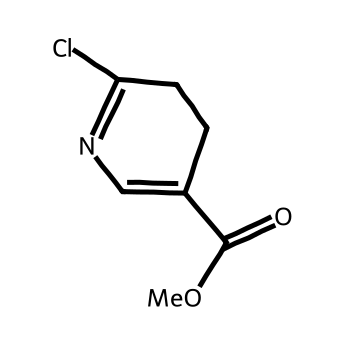 COC(=O)C1=CN=C(Cl)CC1